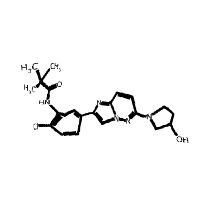 CC(C)(C)C(=O)Nc1cc(-c2cn3nc(N4CCC(O)C4)ccc3n2)ccc1Cl